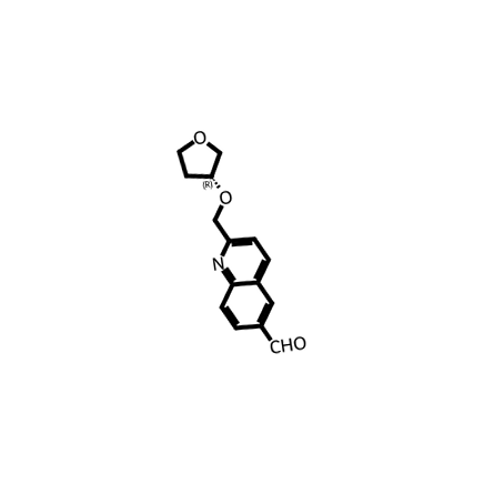 O=Cc1ccc2nc(CO[C@@H]3CCOC3)ccc2c1